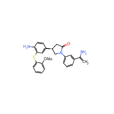 C=C(N)c1cccc(N2C[C@@H](c3ccc(N)c(Sc4ccccc4OC)c3)CC2=O)c1